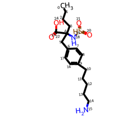 CCCCC(Cc1ccc(CCCCCN)cc1)(N[SH](=O)=O)C(=O)O